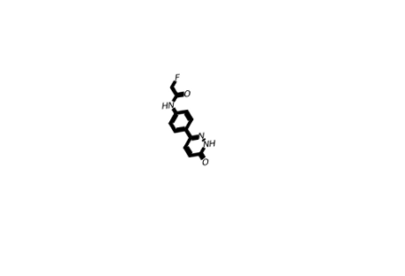 O=C(CF)Nc1ccc(-c2ccc(=O)[nH]n2)cc1